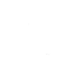 CCCCCC/C=C(\CC)C(C)C